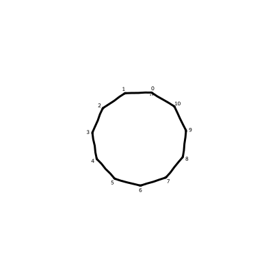 [C]1CCCCCCCCCC1